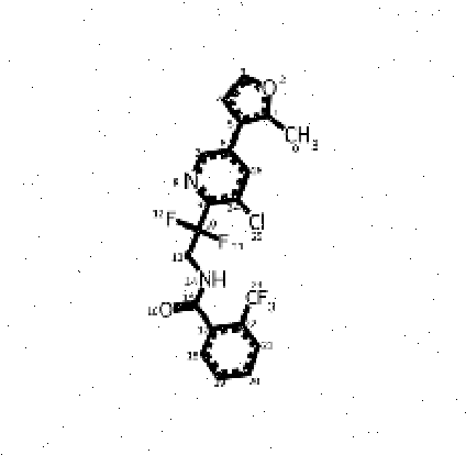 Cc1occc1-c1cnc(C(F)(F)CNC(=O)c2ccccc2C(F)(F)F)c(Cl)c1